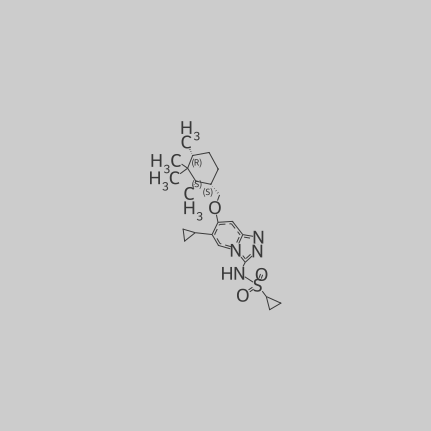 C[C@@H]1CC[C@H](COc2cc3nnc(NS(=O)(=O)C4CC4)n3cc2C2CC2)[C@H](C)C1(C)C